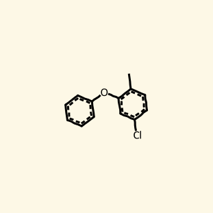 Cc1ccc(Cl)cc1Oc1ccccc1